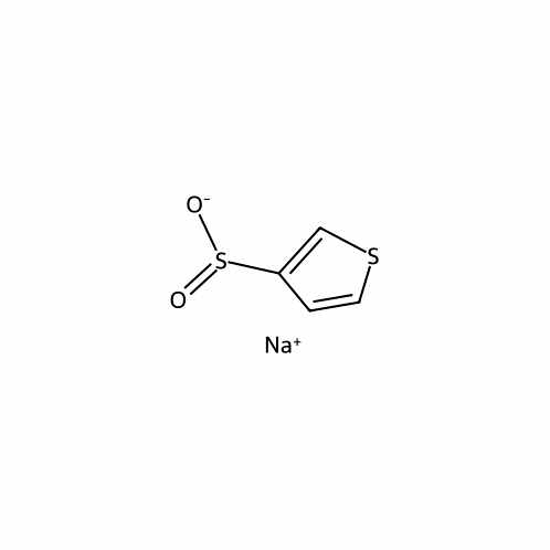 O=S([O-])c1ccsc1.[Na+]